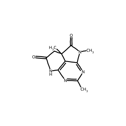 Cc1nc2c3c(n1)N(C)C(=O)C3(C)CC(=O)N2